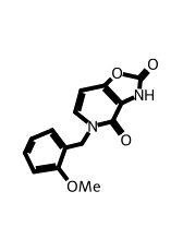 COc1ccccc1Cn1ccc2oc(=O)[nH]c2c1=O